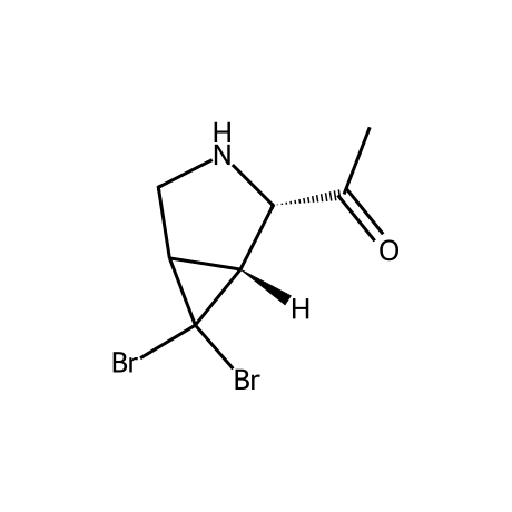 CC(=O)[C@H]1NCC2[C@H]1C2(Br)Br